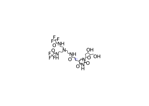 O=C(/C=C/c1cn(C2CC(O)C(CO)O2)c(=O)[nH]c1=O)NCCN(CCNC(=O)C(F)(F)F)CCNC(=O)C(F)(F)F